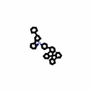 c1ccc(-c2ccc3c(c2)c2ccccc2n3-c2ccc(-c3cccc4c3-c3ccccc3C43c4ccccc4-c4ccccc43)cc2)cc1